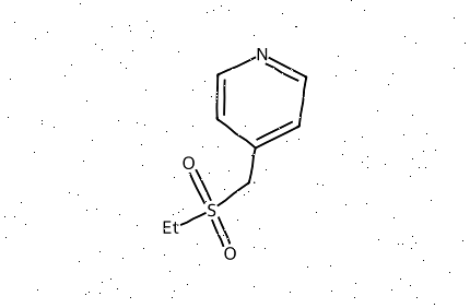 CCS(=O)(=O)[CH]c1ccncc1